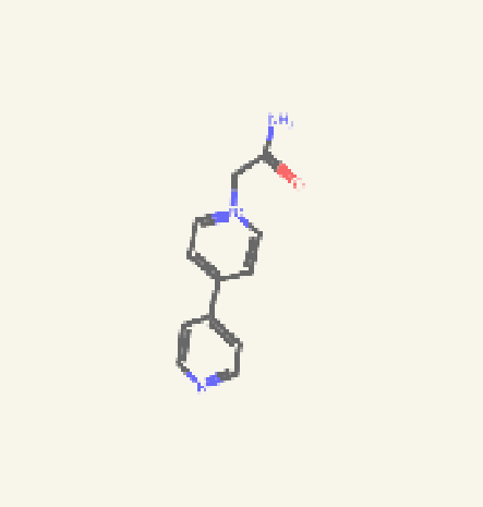 NC(=O)C[n+]1ccc(-c2ccncc2)cc1